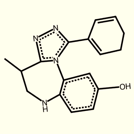 CC1CNc2ccc(O)cc2-n2c(C3=CCCC=C3)nnc21